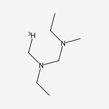 [3H]CN(CC)CN(C)CC